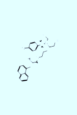 CCN[C@@H](Cc1cccc2ccccc12)C(=O)NCCC[C@@H](CO)N(CC(C)C)S(=O)(=O)c1ccc(N)cc1